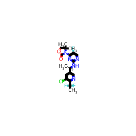 C[C@H](Nc1ncc(F)c(N2C(=O)OCC2(C)C)n1)c1cnc(C(C)(F)F)c(Cl)c1